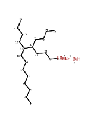 Br.Br.Br.CCCCCCCCC(CCCC)C(CCCC)CCCC